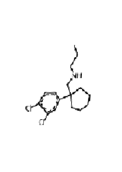 CCCNCC1(c2ccc(Cl)c(Cl)c2)CCCCC1